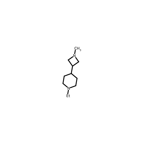 CCN1CCC(C2CN(C)C2)CC1